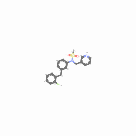 CCS(=O)(=O)N(Cc1cccnc1)c1cccc(Cc2ccccc2F)c1